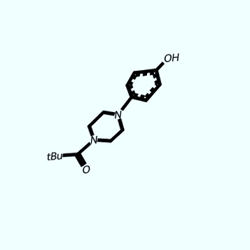 CC(C)(C)C(=O)N1CCN(c2ccc(O)cc2)CC1